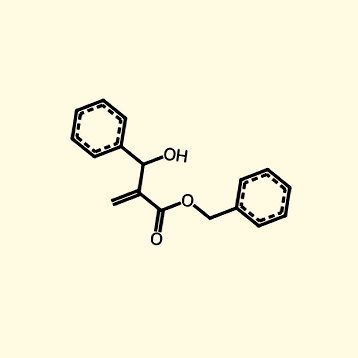 C=C(C(=O)OCc1ccccc1)C(O)c1ccccc1